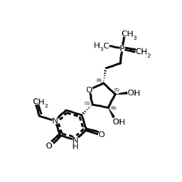 C=Cn1cc([C@@H]2O[C@H](CCP(=C)(C)C)[C@@H](O)[C@H]2O)c(=O)[nH]c1=O